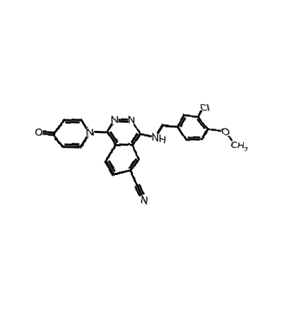 COc1ccc(CNc2nnc(-n3ccc(=O)cc3)c3ccc(C#N)cc23)cc1Cl